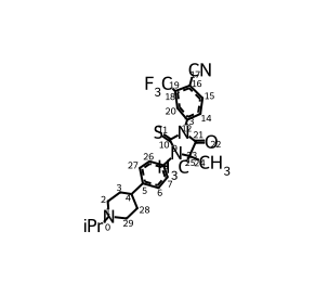 CC(C)N1CCC(c2ccc(N3C(=S)N(c4ccc(C#N)c(C(F)(F)F)c4)C(=O)C3(C)C)cc2)CC1